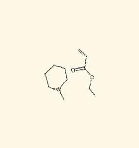 C=CC(=O)OCC.CN1CCCCC1